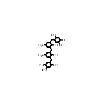 Cc1cc(Cc2cc(O)c(O)cc2O)c(O)c(Cc2cc(C)cc(Cc3cc(O)c(O)cc3O)c2O)c1